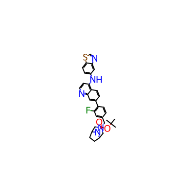 CC(C)(C)OC(=O)N1C2CCC1CN(Cc1ccc(-c3ccc4c(Nc5ccc6scnc6c5)ccnc4c3)c(F)c1)C2